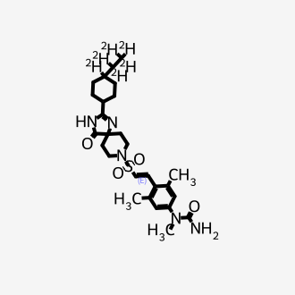 [2H]C([2H])([2H])C([2H])([2H])C1([2H])CCC(C2=NC3(CCN(S(=O)(=O)/C=C/c4c(C)cc(N(C)C(N)=O)cc4C)CC3)C(=O)N2)CC1